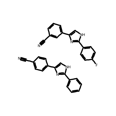 N#Cc1ccc(-c2c[nH]c(-c3ccccc3)n2)cc1.N#Cc1cccc(-c2c[nH]c(-c3ccc(F)cc3)n2)c1